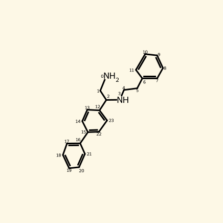 NCC(NCCc1ccccc1)c1ccc(-c2ccccc2)cc1